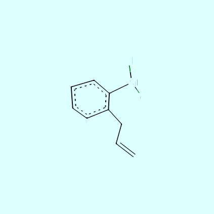 C=CCc1ccccc1[SiH](Cl)Cl